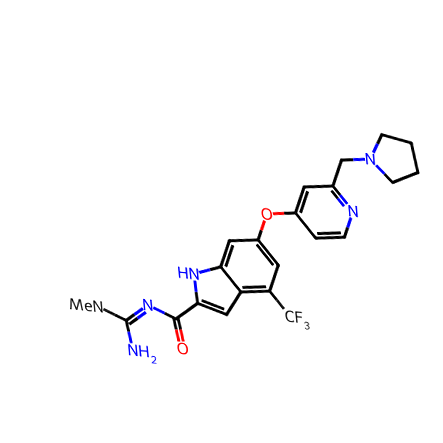 CNC(N)=NC(=O)c1cc2c(C(F)(F)F)cc(Oc3ccnc(CN4CCCC4)c3)cc2[nH]1